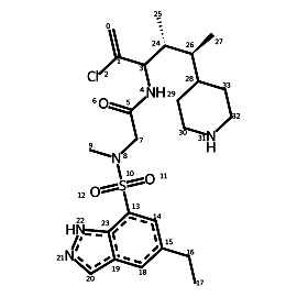 C=C(Cl)C(NC(=O)CN(C)S(=O)(=O)c1cc(CC)cc2cn[nH]c12)[C@H](C)[C@@H](C)C1CCNCC1